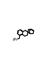 CC(C)Cc1cccc2c1CCC1(CC3=CCC1C3)C2